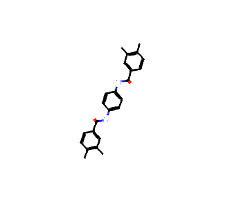 Cc1ccc(C(=O)Nc2ccc(NC(=O)c3ccc(C)c(C)c3)cc2)cc1C